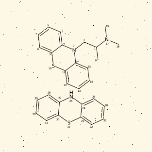 CC(CN1c2ccccc2Sc2ccccc21)N(C)C.c1ccc2c(c1)Nc1ccccc1S2